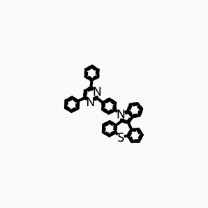 c1ccc(-c2cc(-c3ccccc3)nc(-c3ccc(-n4c5c(c6ccccc64)-c4ccccc4Sc4ccccc4-5)cc3)n2)cc1